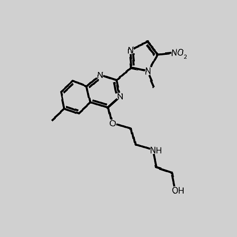 Cc1ccc2nc(-c3ncc([N+](=O)[O-])n3C)nc(OCCNCCO)c2c1